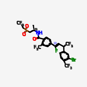 C[C@H](CS(=O)(=O)CC(F)(F)F)NC(=O)c1ccc(/C(F)=C/C(c2ccc(C(F)(F)F)c(Br)c2)C(F)(F)F)cc1C(F)(F)F